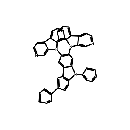 c1ccc(-c2ccc3c(c2)c2cc(-n4c5ccccc5c5ccncc54)c(-n4c5ccccc5c5ccncc54)cc2n3-c2ccccc2)cc1